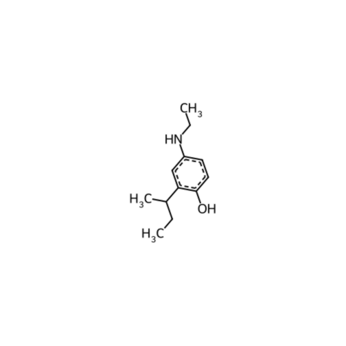 CCNc1ccc(O)c(C(C)CC)c1